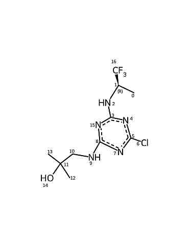 C[C@@H](Nc1nc(Cl)nc(NCC(C)(C)O)n1)C(F)(F)F